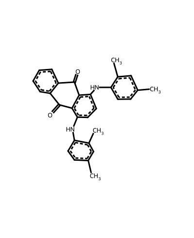 Cc1ccc(Nc2ccc(Nc3ccc(C)cc3C)c3c2C(=O)c2ccccc2C3=O)c(C)c1